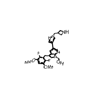 COc1cc(OC)c(F)c(Cc2cn(CO)c3ncc(-c4cnn(CC5CNC5)c4)cc23)c1F